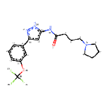 O=C(CCCN1CCCC1)Nc1cc(-c2cccc(OC(F)(F)F)c2)n[nH]1